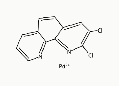 Clc1cc2ccc3cccnc3c2nc1Cl.[Pd+2]